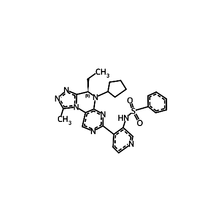 CC[C@@H]1c2nnc(C)n2-c2cnc(-c3ccncc3NS(=O)(=O)c3ccccc3)nc2N1C1CCCC1